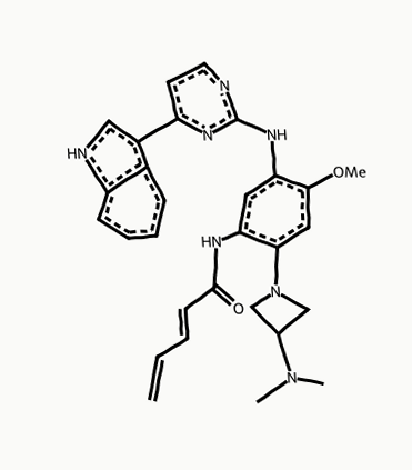 C=C/C=C/C(=O)Nc1cc(Nc2nccc(-c3c[nH]c4ccccc34)n2)c(OC)cc1N1CC(N(C)C)C1